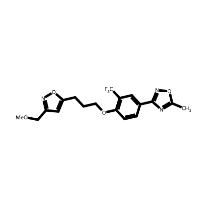 COCc1cc(CCCOc2ccc(-c3noc(C)n3)cc2C(F)(F)F)on1